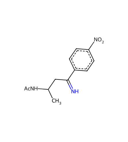 CC(=O)NC(C)CC(=N)c1ccc([N+](=O)[O-])cc1